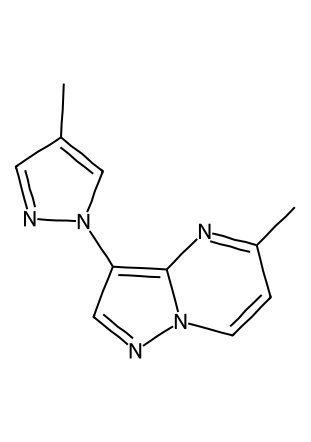 Cc1cnn(-c2cnn3ccc(C)nc23)c1